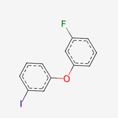 Fc1cccc(Oc2cccc(I)c2)c1